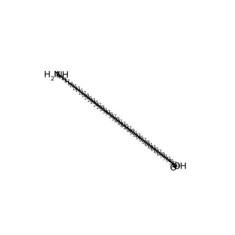 NNCCCCCCCCCCCCCCCCCCCCCCCCCCCCCCCCCCCCCCCCCCCCCCCCCCCCCCCCCCCCCCCCCCCCCCCCCCCCC(=O)O